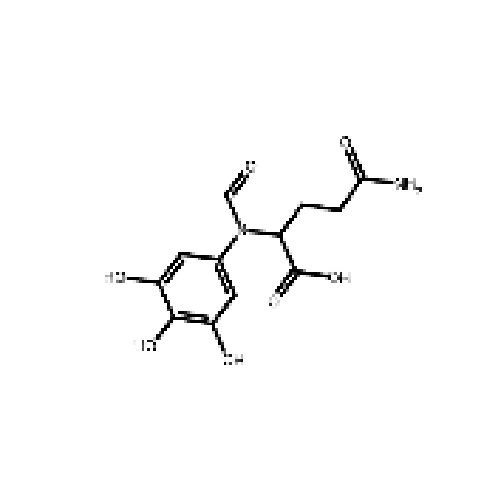 NC(=O)CCC(C(=O)O)N(C=O)c1cc(O)c(O)c(O)c1